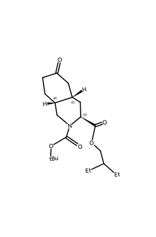 CCC(CC)COC(=O)[C@@H]1C[C@H]2CC(=O)CC[C@H]2CN1C(=O)OC(C)(C)C